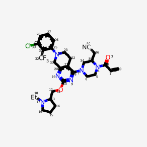 C=CC(=O)N1CCN(c2nc(OCC3CCCN3CC)nc3c2CCN(c2cccc(Cl)c2C(F)(F)F)C3)CC1CC#N